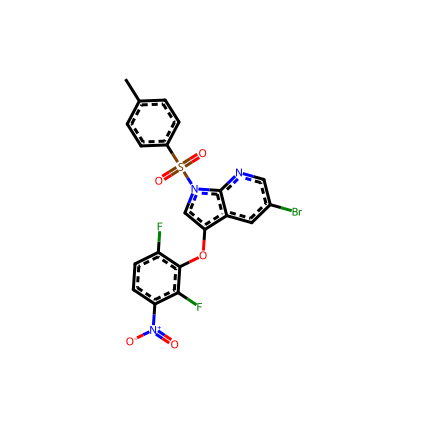 Cc1ccc(S(=O)(=O)n2cc(Oc3c(F)ccc([N+](=O)[O-])c3F)c3cc(Br)cnc32)cc1